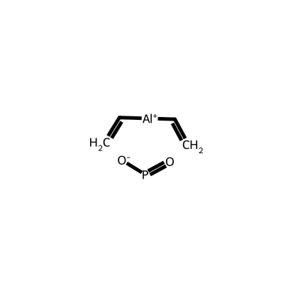 C=[CH][Al+][CH]=C.O=P[O-]